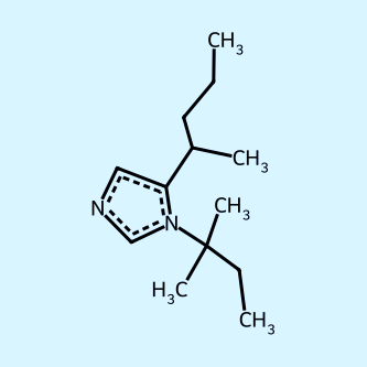 CCCC(C)c1cncn1C(C)(C)CC